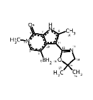 Bc1cn(C)c(=O)c2[nH]c(C)c(C3=NCC(C)(C)O3)c12